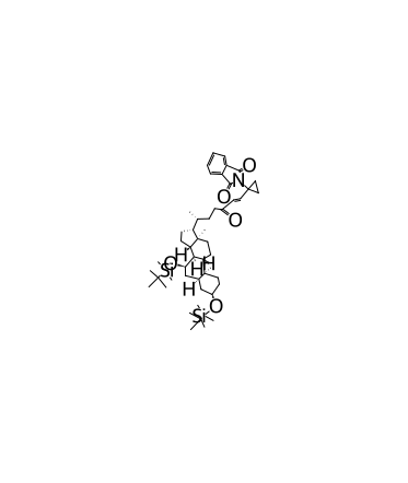 C[C@H](CCC(=O)/C=C/C1(N2C(=O)c3ccccc3C2=O)CC1)[C@H]1CC[C@H]2[C@@H]3[C@H](O[Si](C)(C)C(C)(C)C)C[C@@H]4C[C@H](O[Si](C)(C)C(C)(C)C)CC[C@]4(C)[C@H]3CC[C@]12C